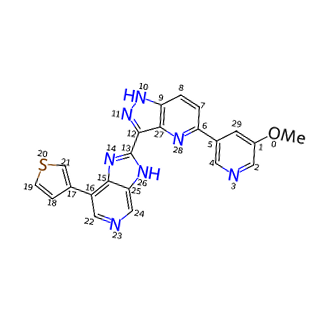 COc1cncc(-c2ccc3[nH]nc(-c4nc5c(-c6ccsc6)cncc5[nH]4)c3n2)c1